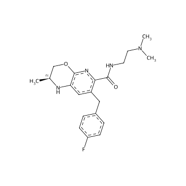 C[C@H]1COc2nc(C(=O)NCCN(C)C)c(Cc3ccc(F)cc3)cc2N1